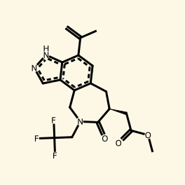 C=C(C)c1cc2c(c3cn[nH]c13)CN(CC(F)(F)F)C(=O)[C@H](CC(=O)OC)C2